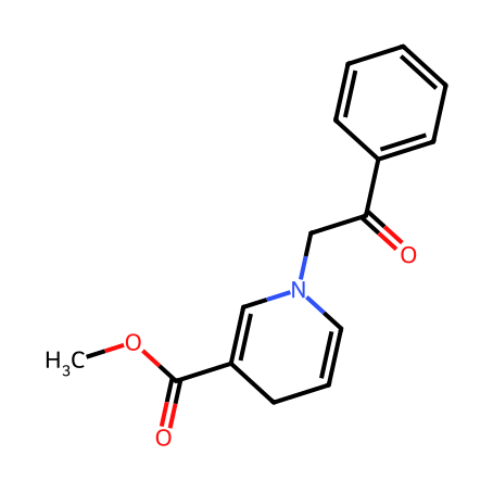 COC(=O)C1=CN(CC(=O)c2ccccc2)C=CC1